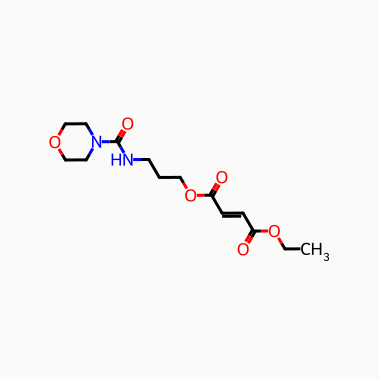 CCOC(=O)/C=C/C(=O)OCCCNC(=O)N1CCOCC1